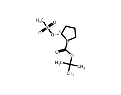 CC(C)(C)OC(=O)N1CCC[C@H]1OS(C)(=O)=O